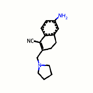 N#CC1=C(CN2CCCC2)CCc2cc(N)ccc21